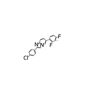 Fc1[c]c(F)c(-c2ccc3nc(-c4ccc(Cl)cc4)cn3c2)cc1